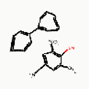 Cc1cc([N+](=O)[O-])cc([N+](=O)[O-])c1O.c1ccc(-c2ccccc2)cc1